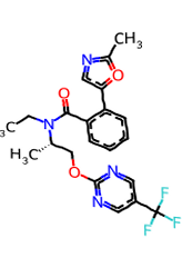 CCN(C(=O)c1ccccc1-c1cnc(C)o1)[C@@H](C)COc1ncc(C(F)(F)F)cn1